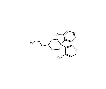 CCCC1CCC(c2ccccc2C)(c2ccccc2C)CC1